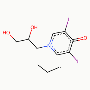 O=c1c(I)cn(CC(O)CO)cc1I.[CH2]CC